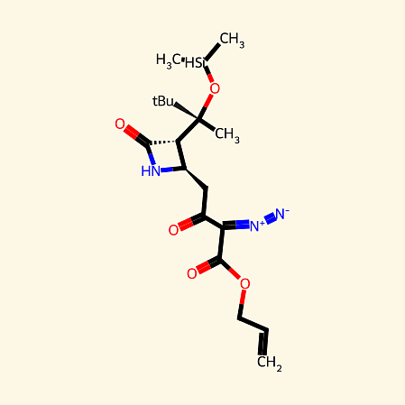 C=CCOC(=O)C(=[N+]=[N-])C(=O)C[C@H]1NC(=O)[C@@H]1[C@@](C)(O[SiH](C)C)C(C)(C)C